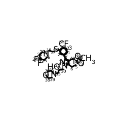 CS(=O)(=O)N1CCc2c(c(-c3ccc(C(F)(F)F)c(SCCN4CCC(F)(F)CC4)c3)nn2C[C@@H](O)CN2CCOCC2)C1